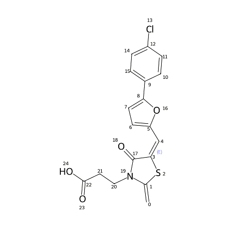 C=c1s/c(=C/c2ccc(-c3ccc(Cl)cc3)o2)c(=O)n1CCC(=O)O